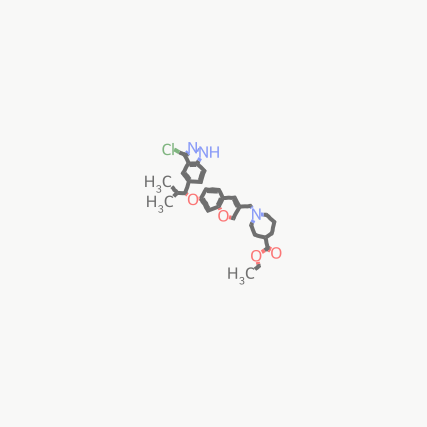 CCOC(=O)C1CCCN(CC2=Cc3ccc(OC(c4ccc5[nH]nc(Cl)c5c4)C(C)C)cc3OC2)CC1